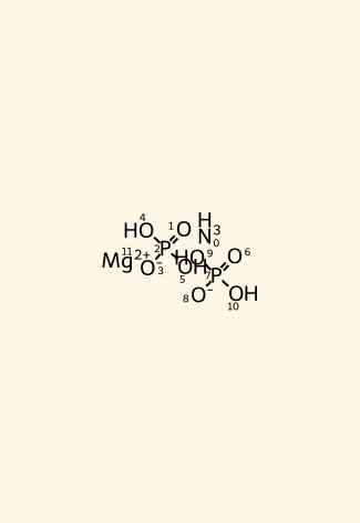 N.O=P([O-])(O)O.O=P([O-])(O)O.[Mg+2]